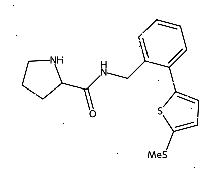 CSc1ccc(-c2ccccc2CNC(=O)C2CCCN2)s1